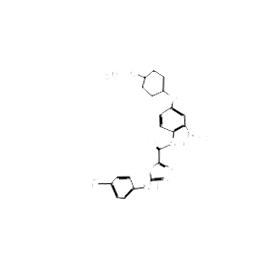 CCOC(=O)C1CCC(Oc2ccc(NC(=O)c3nnc(Nc4ccc(F)cc4)o3)c([N+](=O)[O-])c2)CC1